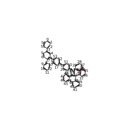 c1ccc(-c2ccc(-c3ccccc3)c(-c3ccc(-c4ccc(N(c5ccccc5)c5c(-c6ccccc6)c6ccccc6c6ccccc56)cc4)cc3)c2)cc1